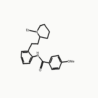 CCN1CCCCC1CCc1ccccc1NC(=O)c1ccc(OC)cc1